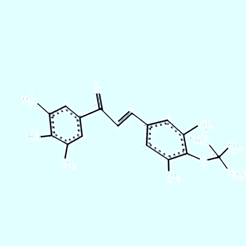 Cc1cc(C(=O)/C=C/c2cc(C)c(OC(C)(C)C(=O)O)c(C)c2)cc(C)c1O